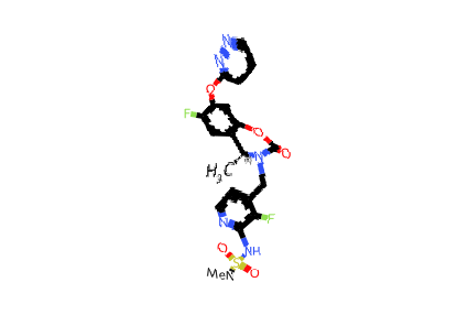 CNS(=O)(=O)Nc1nccc(CN2C(=O)Oc3cc(Oc4cccnn4)c(F)cc3[C@H]2C)c1F